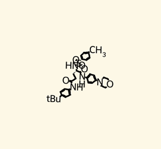 Cc1ccc(S(=O)(=O)N[C@@H](CCC(=O)Nc2ccc(C(C)(C)C)cc2)C(=O)Nc2ccc(N3CCOCC3)cc2)cc1